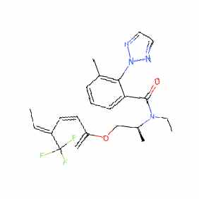 C=C(/C=C\C(=C/C)C(F)(F)F)OC[C@H](C)N(CC)C(=O)c1cccc(C)c1-n1nccn1